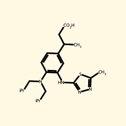 Cc1nnc(Nc2cc(C(C)CC(=O)O)ccc2N(CC(C)C)CC(C)C)s1